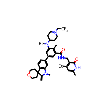 C=C1N(C)c2cc(-c3cc(C(=O)NCc4c(CC)cc(C)[nH]c4=O)c(C)c(N(CC)C4CCN(CC(F)(F)F)CC4)c3)ccc2C12CCOCC2